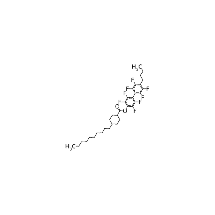 CCCCCCCCCCC1CCC(C(=O)Oc2c(F)c(F)c(-c3c(F)c(F)c(CCCC)c(F)c3F)c(F)c2F)CC1